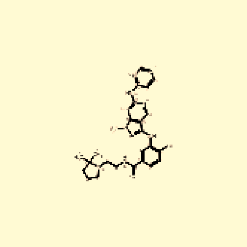 Cn1nc(Nc2cc(C(=O)NCCN3CCCC3(C)C)ccc2F)c2cnc(Nc3ccncn3)nc21